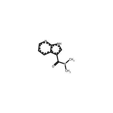 CN(C)C(=O)c1c[nH]c2ncccc12